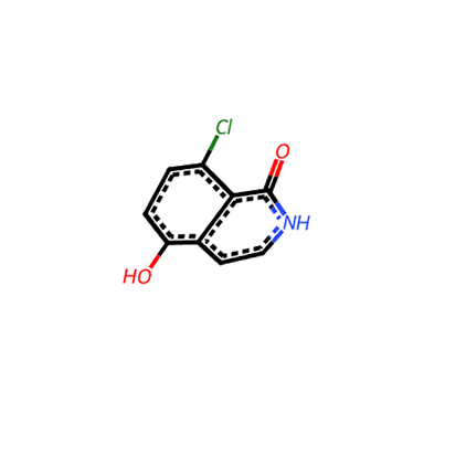 O=c1[nH]ccc2c(O)ccc(Cl)c12